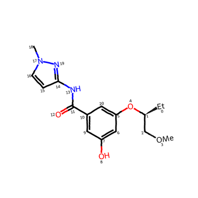 CC[C@@H](COC)Oc1cc(O)cc(C(=O)Nc2ccn(C)n2)c1